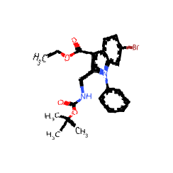 CCOC(=O)c1c(CNC(=O)OC(C)(C)C)n(-c2ccccc2)c2cc(Br)ccc12